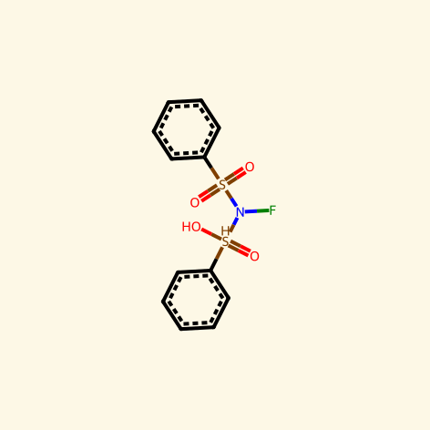 O=S(=O)(c1ccccc1)N(F)[SH](=O)(O)c1ccccc1